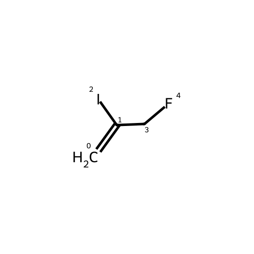 C=C(I)CF